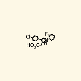 O=C(O)Cc1nn(-c2ccccc2F)cc1-c1ccc(Cl)cc1